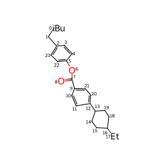 CCC(C)Cc1ccc(OC(=O)c2ccc(C3CCC(CC)CC3)cc2)cc1